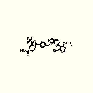 COc1ncnc(C2CC2)c1-c1ncc2cnn(Cc3ccc(-c4nc(C(F)(F)F)c5n4CCN(C(=O)O)C5)cc3)c2n1